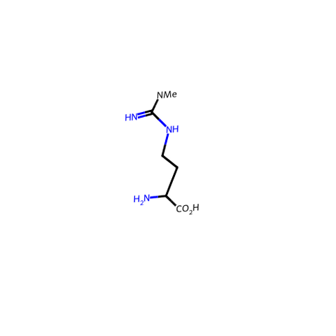 CNC(=N)NCCC(N)C(=O)O